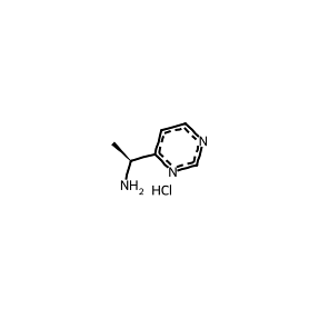 C[C@H](N)c1ccncn1.Cl